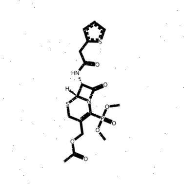 COP(=O)(OC)C1=C(COC(C)=O)CS[C@@H]2[C@H](NC(=O)Cc3cccs3)C(=O)N12